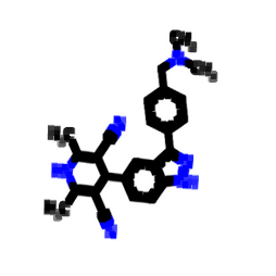 CC1=C(C#N)C(c2ccc3[nH]nc(-c4ccc(CN(C)C)cc4)c3c2)C(C#N)=C(C)N1